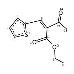 CCOC(=O)C(=Cc1cccs1)C(C)=O